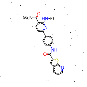 CCNc1nc(-c2ccc(NC(=O)c3cc4cccnc4s3)cc2)ccc1C(=O)NC